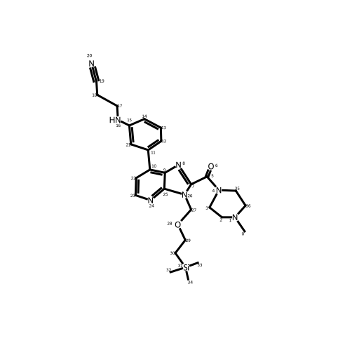 CN1CCN(C(=O)c2nc3c(-c4cccc(NCCC#N)c4)ccnc3n2COCC[Si](C)(C)C)CC1